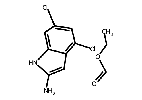 CCOC=O.Nc1cc2c(Cl)cc(Cl)cc2[nH]1